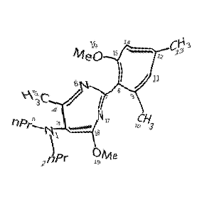 CCCN(CCC)c1c(C)nc(-c2c(C)cc(C)cc2OC)nc1OC